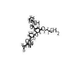 C=CCCOc1cc(Oc2cccc(-c3nnc(C4CC4)o3)c2)cc(C(=O)Nc2nccs2)c1